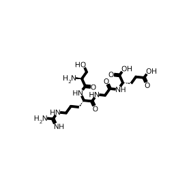 N=C(N)NCCC[C@H](NC(=O)[C@@H](N)CO)C(=O)NCC(=O)N[C@@H](CCC(=O)O)C(=O)O